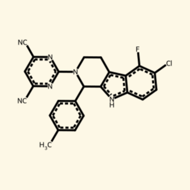 Cc1ccc(C2c3[nH]c4ccc(Cl)c(F)c4c3CCN2c2nc(C#N)cc(C#N)n2)cc1